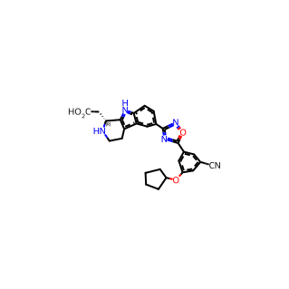 N#Cc1cc(OC2CCCC2)cc(-c2nc(-c3ccc4[nH]c5c(c4c3)CCN[C@@H]5CC(=O)O)no2)c1